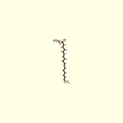 CCCCCCCCCCCCCCCCCC(=O)O[SeH]